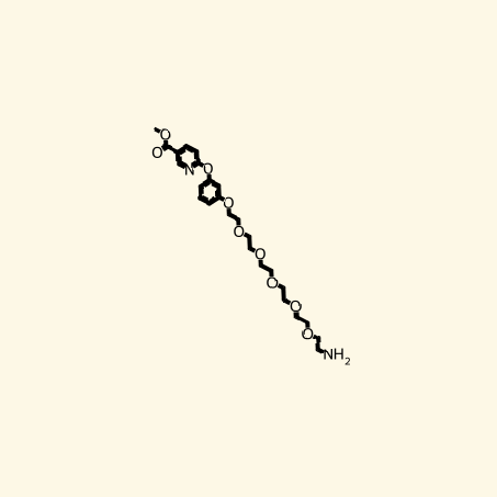 COC(=O)c1ccc(Oc2cccc(OCCOCCOCCOCCOCCOCCN)c2)nc1